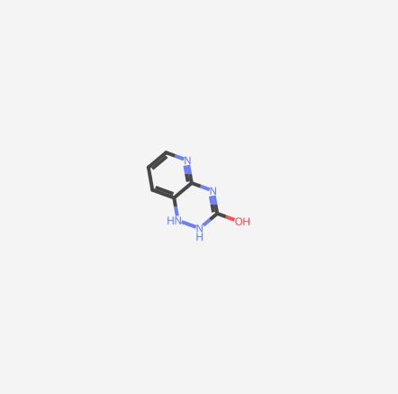 OC1=Nc2ncccc2NN1